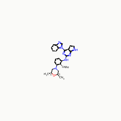 COc1c(Nc2nc(-n3cnc4ccccc43)c3cc[nH]c3n2)cccc1N1C[C@@H](C)O[C@@H](C)C1